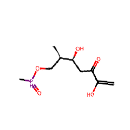 C=C(O)C(=O)C[C@H](O)[C@H](C)CO[PH](C)=O